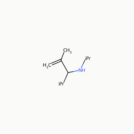 C=C(C)C(NC(C)C)C(C)C